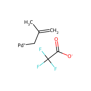 C=C(C)[CH2][Pd+].O=C([O-])C(F)(F)F